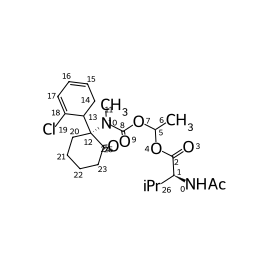 CC(=O)N[C@H](C(=O)OC(C)OC(=O)N(C)[C@@]1(C2CC=CC=C2Cl)CCCCC1=O)C(C)C